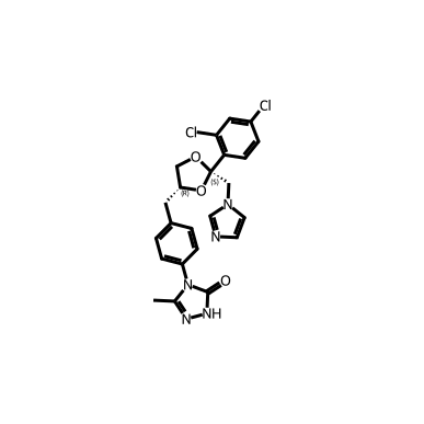 Cc1n[nH]c(=O)n1-c1ccc(C[C@@H]2CO[C@@](Cn3ccnc3)(c3ccc(Cl)cc3Cl)O2)cc1